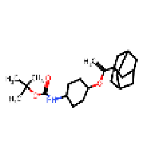 C=C(OC1CCC(NC(=O)OC(C)(C)C)CC1)C12CC3CC(CC(C3)C1)C2